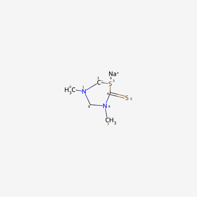 CN1[CH-]SC(=S)N(C)C1.[Na+]